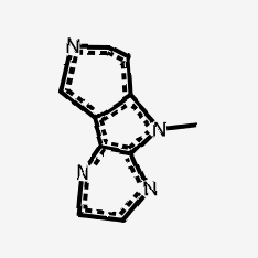 Cn1c2ccncc2c2nccnc21